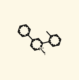 Cc1ccccc1-c1cc(-c2ccccc2)cc[n+]1I